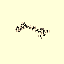 COc1cc(CCCCCNCCCOc2cccc(CN3CCCCC3)c2)ccc1O